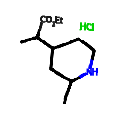 CCOC(=O)C(C)C1CCNC(C)C1.Cl